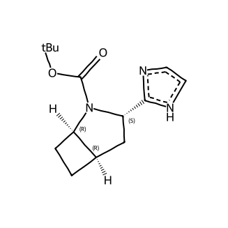 CC(C)(C)OC(=O)N1[C@@H]2CC[C@@H]2C[C@H]1c1ncc[nH]1